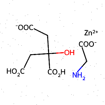 NCC(=O)[O-].O=C([O-])CC(O)(CC(=O)O)C(=O)O.[Zn+2]